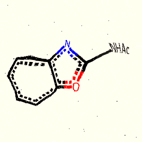 CC(=O)Nc1nc2[c]cccc2o1